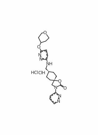 Cl.Cl.O=C1O[C@]2(CC[C@H](CNc3ccc(OC4CCOCC4)nn3)CC2)CN1c1cccnn1